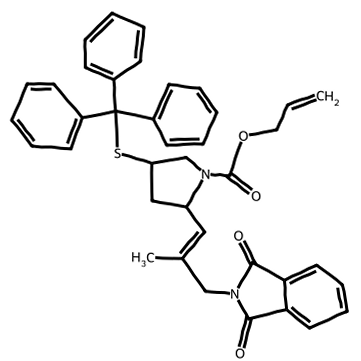 C=CCOC(=O)N1CC(SC(c2ccccc2)(c2ccccc2)c2ccccc2)CC1C=C(C)CN1C(=O)c2ccccc2C1=O